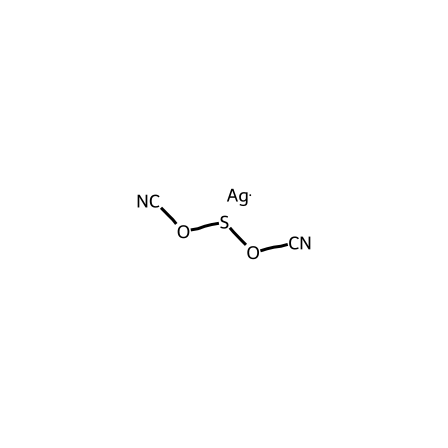 N#COSOC#N.[Ag]